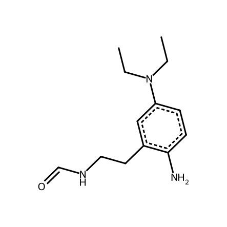 CCN(CC)c1ccc(N)c(CCNC=O)c1